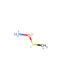 CSON